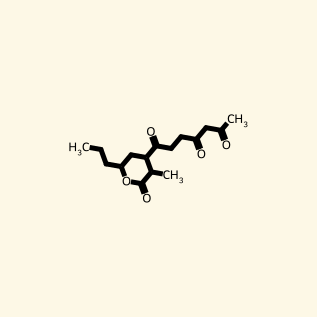 CCCC1CC(C(=O)CCC(=O)CC(C)=O)C(C)C(=O)O1